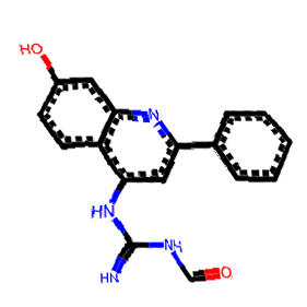 N=C(NC=O)Nc1cc(-c2ccccc2)nc2cc(O)ccc12